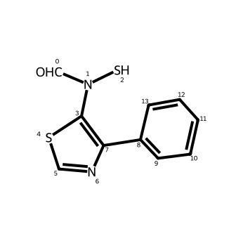 O=CN(S)c1scnc1-c1ccccc1